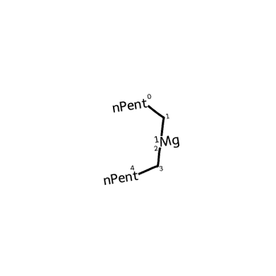 CCCCC[CH2][1Mg][CH2]CCCCC